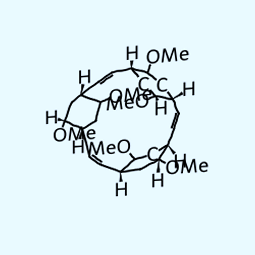 COC1C[C@@H]2/C=C\[C@H]3C[C@@H](OC)[C@@H](/C=C\[C@H]4CC(OC)[C@@H](/C=C\[C@H]1C[C@H]2OC)C[C@H]4OC)CC3OC